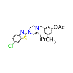 CC(=O)Oc1cc(C)cc(CN2CCN(c3nc4ccc(Cl)cc4s3)C[C@H]2CC(C)C)c1